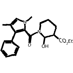 CCOC(=O)C1CCCN(C(=O)c2c(-c3ccccc3)c(C)cn2C)C1O